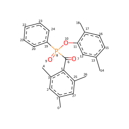 Cc1cc(C)c(C(=O)P(=O)(Oc2cc(C)ccc2C)c2ccccc2)c(C)c1